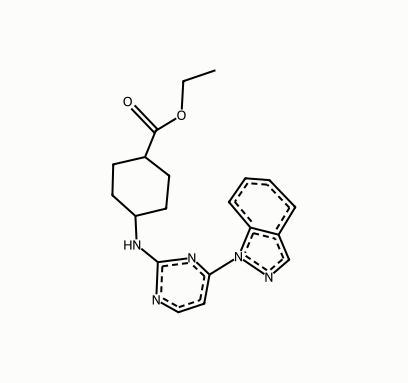 CCOC(=O)C1CCC(Nc2nccc(-n3ncc4ccccc43)n2)CC1